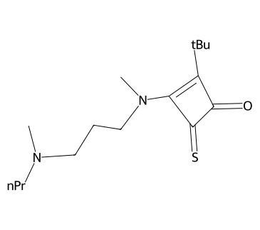 CCCN(C)CCCN(C)c1c(C(C)(C)C)c(=O)c1=S